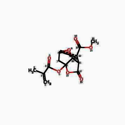 C=C(C)C(=O)OC12Cc3oc1c(c3C(=O)OC)C(=O)O2